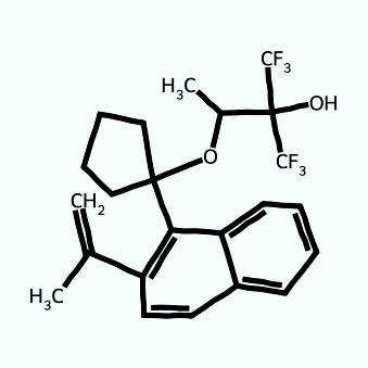 C=C(C)c1ccc2ccccc2c1C1(OC(C)C(O)(C(F)(F)F)C(F)(F)F)CCCC1